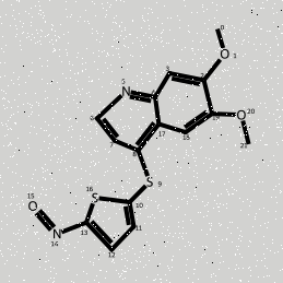 COc1cc2nccc(Sc3ccc(N=O)s3)c2cc1OC